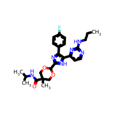 CCCNc1nccc(-c2[nH]c(C3OCC(C)(C(=O)NC(C)C)CO3)nc2-c2ccc(F)cc2)n1